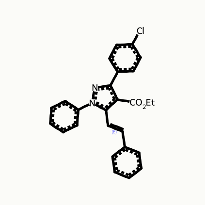 CCOC(=O)c1c(-c2ccc(Cl)cc2)nn(-c2ccccc2)c1/C=C/c1ccccc1